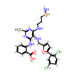 Cc1nc(NCCC[SH]=N)c(NCc2ccc(-c3cc(Cl)ccc3Cl)o2)c(Nc2ccccc2C(=O)O)n1